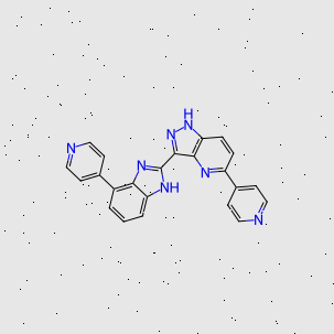 c1cc(-c2ccncc2)c2nc(-c3n[nH]c4ccc(-c5ccncc5)nc34)[nH]c2c1